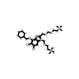 C[Si](C)(C)CCOCOCc1nc2c(OCC3CCCCC3)c(Cl)c(Cl)cc2n1COCC[Si](C)(C)C